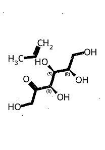 C=CC.O=C(CO)[C@H](O)[C@@H](O)[C@H](O)CO